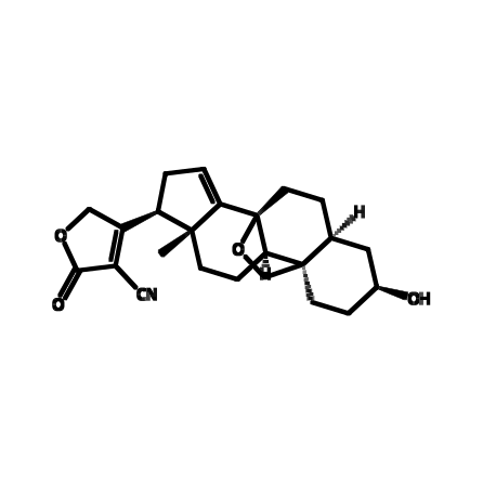 C[C@]12CC[C@@H]3[C@@]45CC[C@H](O)C[C@@H]4CC[C@@]3(OC5)C1=CC[C@@H]2C1=C(C#N)C(=O)OC1